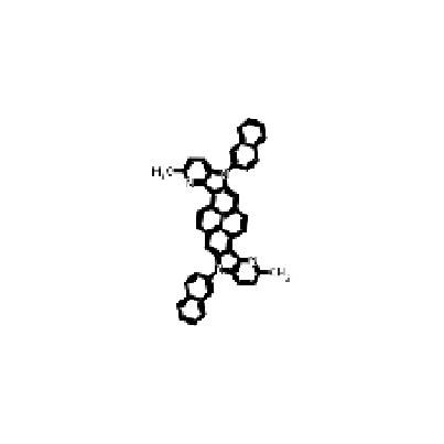 Cc1ccc2c(n1)c1c3ccc4cc5c(c6ccc(cc1n2-c1ccc2ccccc2c1)c3c46)c1nc(C)ccc1n5-c1ccc2ccccc2c1